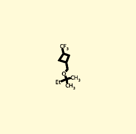 CCC(C)(C)OCC1CC(C(F)(F)F)C1